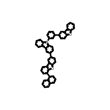 c1cc(-c2ccc3oc4ccccc4c3c2)cc(-n2c3ccccc3c3cc(-c4ccc5oc6c(-c7cccc8ccccc78)cccc6c5c4)ccc32)c1